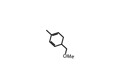 COCC1C=CC(C)=CC1